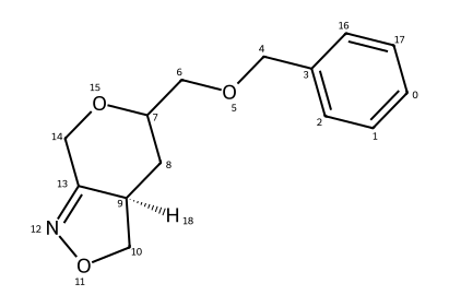 c1ccc(COCC2C[C@H]3CON=C3CO2)cc1